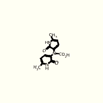 Cc1ccc(N(C(=O)O)c2ccc(C)[nH]c2=O)c(=O)[nH]1